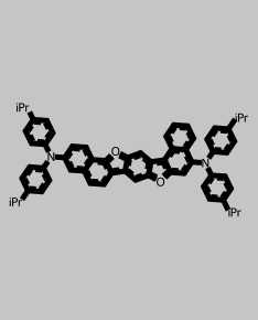 CC(C)c1ccc(N(c2ccc(C(C)C)cc2)c2ccc3c(ccc4c5cc6oc7cc(N(c8ccc(C(C)C)cc8)c8ccc(C(C)C)cc8)c8ccccc8c7c6cc5oc34)c2)cc1